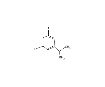 BC(C)c1cc(F)cc(F)c1